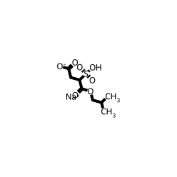 CC(C)COC(=O)C(CC(=O)[O-])S(=O)(=O)O.[Na+]